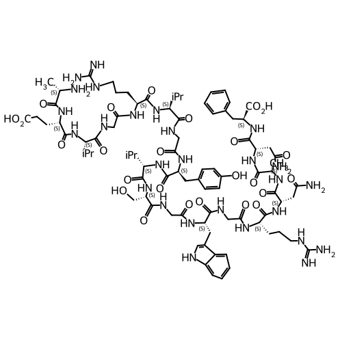 CC(C)[C@H](NC(=O)[C@H](CCCNC(=N)N)NC(=O)CNC(=O)[C@@H](NC(=O)[C@H](CCC(=O)O)NC(=O)[C@H](C)N)C(C)C)C(=O)NCC(=O)N[C@@H](Cc1ccc(O)cc1)C(=O)N[C@H](C(=O)N[C@@H](CO)C(=O)NCC(=O)N[C@@H](Cc1c[nH]c2ccccc12)C(=O)NCC(=O)N[C@@H](CCCNC(=N)N)C(=O)N[C@@H](CC(N)=O)C(=O)N[C@@H](C)C(=O)N[C@@H](CC(N)=O)C(=O)N[C@@H](Cc1ccccc1)C(=O)O)C(C)C